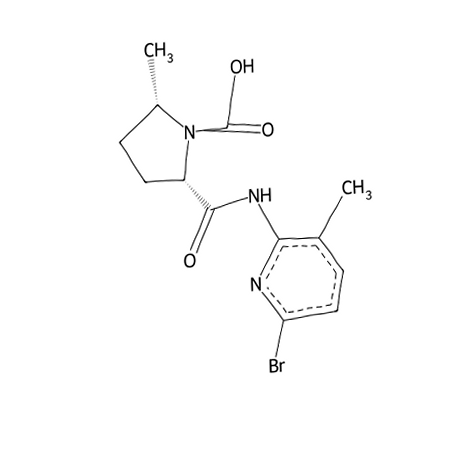 Cc1ccc(Br)nc1NC(=O)[C@@H]1CC[C@H](C)N1C(=O)O